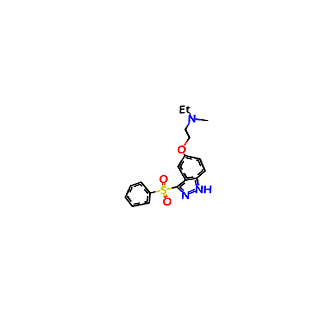 CCN(C)CCOc1ccc2[nH]nc(S(=O)(=O)c3ccccc3)c2c1